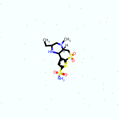 CCC1CN(C)[C@@H]2CS(=O)(=O)c3sc(S(N)(=O)=O)cc3C2N1